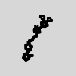 COc1ccc(-c2cc(CCCCN3CCN(c4ccccc4C)CC3)on2)cc1OC